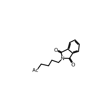 CC(=O)CCCCN1C(=O)c2ccccc2C1=O